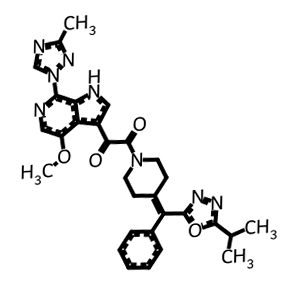 COc1cnc(-n2cnc(C)n2)c2[nH]cc(C(=O)C(=O)N3CCC(=C(c4ccccc4)c4nnc(C(C)C)o4)CC3)c12